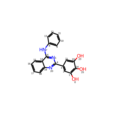 Oc1cc(-c2nc(Nc3ccccc3)c3ccccc3n2)cc(O)c1O